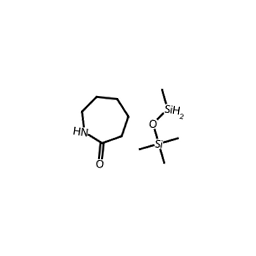 C[SiH2]O[Si](C)(C)C.O=C1CCCCCN1